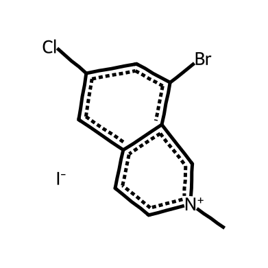 C[n+]1ccc2cc(Cl)cc(Br)c2c1.[I-]